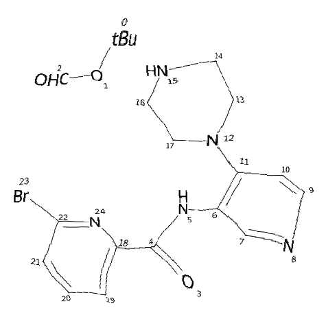 CC(C)(C)OC=O.O=C(Nc1cnccc1N1CCNCC1)c1cccc(Br)n1